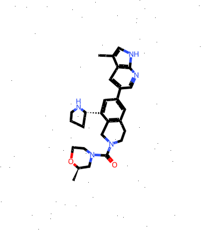 Cc1c[nH]c2ncc(-c3cc4c(c([C@@H]5CCCN5)c3)CN(C(=O)N3CCO[C@H](C)C3)CC4)cc12